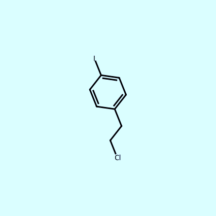 ClCCc1ccc(I)cc1